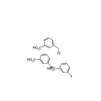 O=C(O)c1cccc(Br)c1.O=C(O)c1cccc(CCl)c1.O=C(O)c1cccc(I)c1